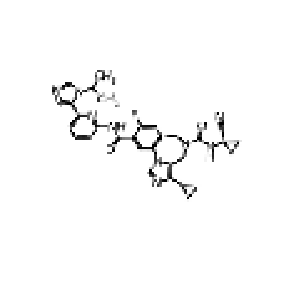 CC(C)n1cnnc1-c1cccc(NC(=O)c2cc3c(cc2F)CN(C(=O)NC2(C#N)CC2)Cc2c(C4CC4)ncn2-3)n1